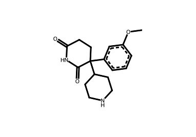 COc1cccc(C2(C3CCNCC3)CCC(=O)NC2=O)c1